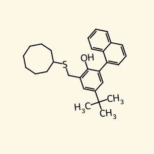 CC(C)(C)c1cc(CSC2CCCCCCC2)c(O)c(-c2cccc3ccccc23)c1